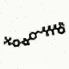 Cc1ccccc1NC(=S)NC(=O)NCCC1CCN(c2ncn(-c3ccc(OC(F)(F)F)cc3)n2)CC1